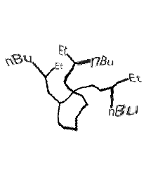 CCCCC(CC)CC1CCCC1(CC(CC)CCCC)CC(CC)CCCC